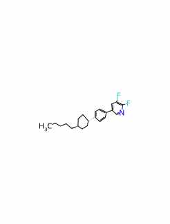 CCCCC[C@H]1CC[C@H](c2ccc(-c3cnc(F)c(F)c3)cc2)CC1